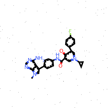 Cn1cc(-c2ccc(NC(=O)c3cn(C4CC4)cc(-c4ccc(F)cc4)c3=O)cc2)c2c(N)ncnc21